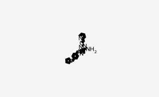 Nc1nc(OCc2ccccn2)nc2c1cnn2Cc1ccc(CN2CCCC2)cc1